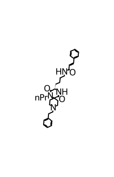 CCCN1C(=O)[C@H](CCCCNC(=O)C=Cc2ccccc2)NC(=O)C12CCN(CCc1ccccc1)CC2